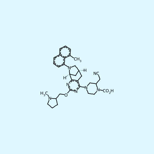 Cc1cccc2cccc(N3C[C@H]4Cc5c(nc(OCC6CCCN6C)nc5N5CCN(C(=O)O)C(CC#N)C5)[C@@H]3C4)c12